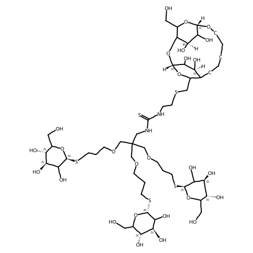 OCC1O[C@@H]2OCCCCCC3C(CSCCNC(=S)NCC(COCCCS[C@H]4OC(CO)[C@@H](O)[C@H](O)C4O)(COCCCS[C@@H]4OC(CO)[C@@H](O)[C@H](O)C4O)COCCCS[C@@H]4OC(CO)[C@@H](O)[C@H](O)C4O)O[C@H](OC1[C@H](O)C2O)C(O)[C@H]3O